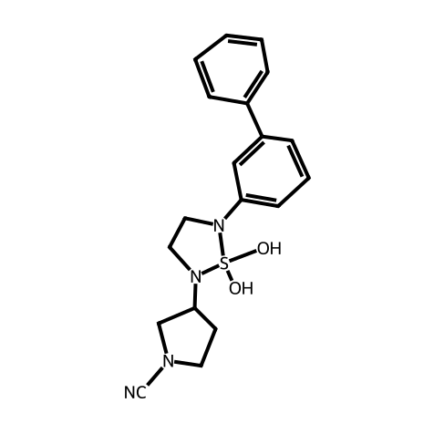 N#CN1CCC(N2CCN(c3cccc(-c4ccccc4)c3)S2(O)O)C1